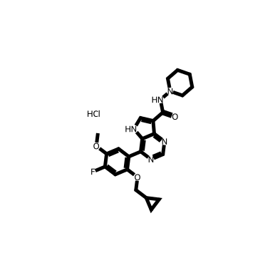 COc1cc(-c2ncnc3c(C(=O)NN4CCCCC4)c[nH]c23)c(OCC2CC2)cc1F.Cl